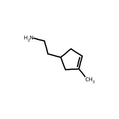 CC1=CCC(CCN)C1